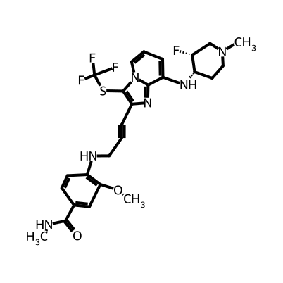 CNC(=O)c1ccc(NCC#Cc2nc3c(N[C@H]4CCN(C)C[C@H]4F)cccn3c2SC(F)(F)F)c(OC)c1